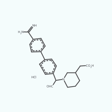 Cl.N=C(N)c1ccc(-c2ccc(C(C=O)N3CCCC(CC(=O)O)C3)cc2)cc1